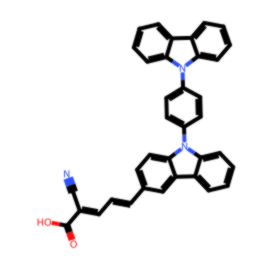 N#C/C(=C\C=C\c1ccc2c(c1)c1ccccc1n2-c1ccc(-n2c3ccccc3c3ccccc32)cc1)C(=O)O